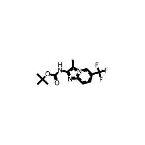 Cc1c(NC(=O)OC(C)(C)C)nc2ccc(C(F)(F)F)cn12